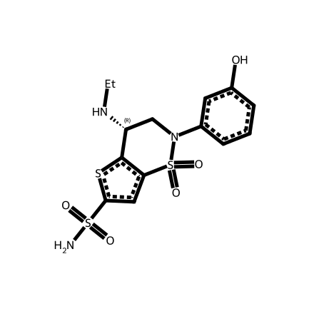 CCN[C@@H]1CN(c2cccc(O)c2)S(=O)(=O)c2cc(S(N)(=O)=O)sc21